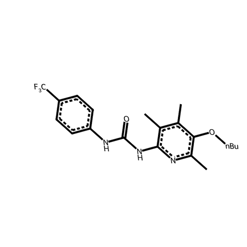 CCCCOc1c(C)nc(NC(=O)Nc2ccc(C(F)(F)F)cc2)c(C)c1C